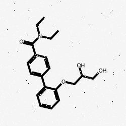 CCN(CC)C(=O)c1ccc(-c2ccccc2OCC(O)CO)cc1